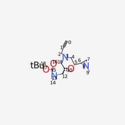 C#CCN1CC(C2CN2C)O[C@@H](CN(C)C(=O)OC(C)(C)C)C1